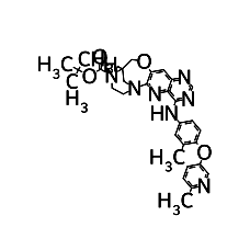 Cc1ccc(Oc2ccc(Nc3ncnc4cc5c(nc34)N3CCN(C(=O)OC(C)(C)C)[C@H](CO5)C3)cc2C)cn1